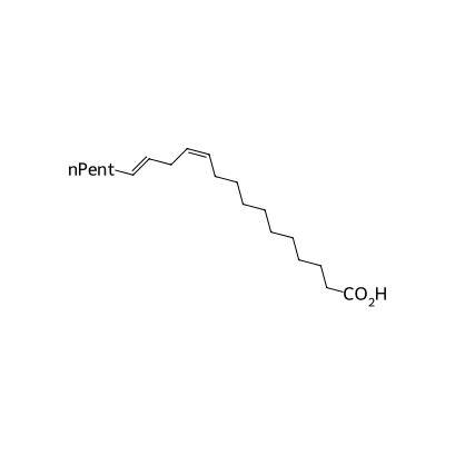 CCCCCC=CC/C=C\CCCCCCCCCC(=O)O